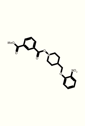 COC(=O)c1cccc(C(=O)ON2CCC(COc3ccccc3[N+](=O)[O-])CC2)c1